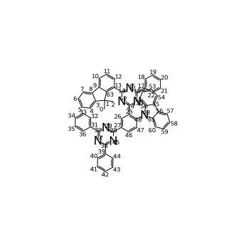 CC1(C)c2ccccc2-c2cccc(-c3nc(-c4ccccc4)nc(-c4cc(-c5nc(-c6ccccc6)nc(-c6ccccc6)n5)ccc4-n4c5ccccc5c5ccccc54)n3)c21